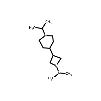 CC(C)N1CCC(C2CN(N(C)C)C2)CC1